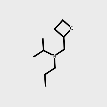 CCCN(CC1CCO1)C(C)C